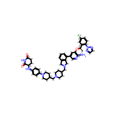 C[C@@H](Oc1cc(-c2cccc3c2CN(CC2CCN(CC4CCN(c5ccc(NC6CCC(=O)NC6=O)cc5)CC4)CC2)C3)cnc1N)c1cc(F)ccc1-n1nccn1